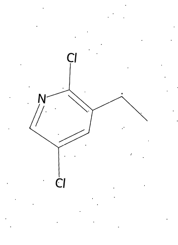 C[CH]c1cc(Cl)cnc1Cl